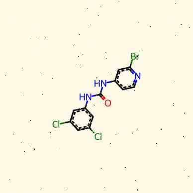 O=C(Nc1cc(Cl)cc(Cl)c1)Nc1ccnc(Br)c1